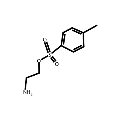 Cc1ccc(S(=O)(=O)OCCN)cc1